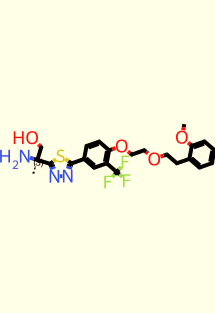 COc1ccccc1CCOCCOc1ccc(-c2nnc([C@@](C)(N)CO)s2)cc1C(F)(F)F